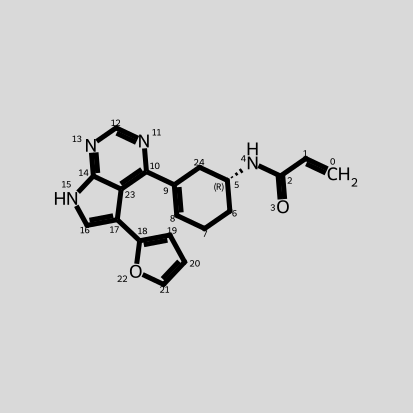 C=CC(=O)N[C@@H]1CCC=C(c2ncnc3[nH]cc(-c4ccco4)c23)C1